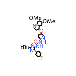 COc1cc2nccc(Oc3ccc(NC(=O)Nc4c(-c5ccc(F)cc5)nc(C(C)(C)C)n4C)nc3)c2cc1OC